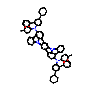 Cc1ccc(N(c2ccc(C3CCCCC3)cc2-c2ccccc2)c2ccc3c4cc5c(cc4n4c6ccccc6c2c34)c2ccc(N(c3ccc(C)cc3)c3ccc(C4CCCCC4)cc3-c3ccccc3)c3c4ccccc4n5c23)cc1